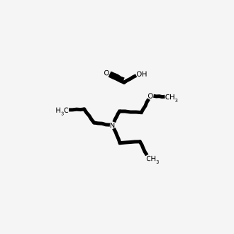 CCCN(CCC)CCOC.O=CO